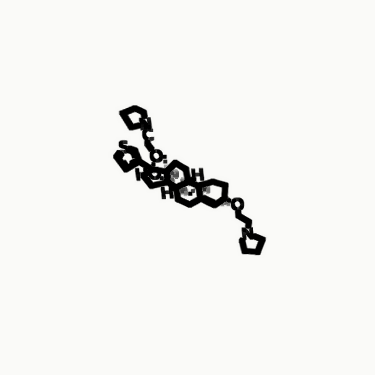 C[C@]12CC[C@H]3[C@@H](CCC4=C[C@@H](OCCN5CCCC5)CC[C@@]43C)[C@@]1(O)CC[C@@]2(OCCN1CCCC1)c1ccsc1